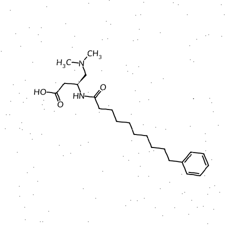 CN(C)C[C@H](CC(=O)O)NC(=O)CCCCCCCCCc1ccccc1